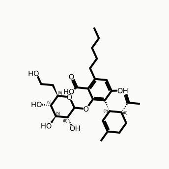 C=C(C)[C@@H]1CCC(C)=C[C@@H]1c1c(O)cc(CCCCC)c(C(=O)O)c1OC1O[C@H](CCO)[C@@H](O)[C@H](O)[C@H]1O